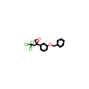 ClC(Cl)(Cl)CC1(c2cccc(OCc3ccccc3)c2)CO1